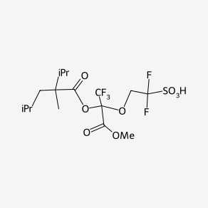 COC(=O)C(OCC(F)(F)S(=O)(=O)O)(OC(=O)C(C)(CC(C)C)C(C)C)C(F)(F)F